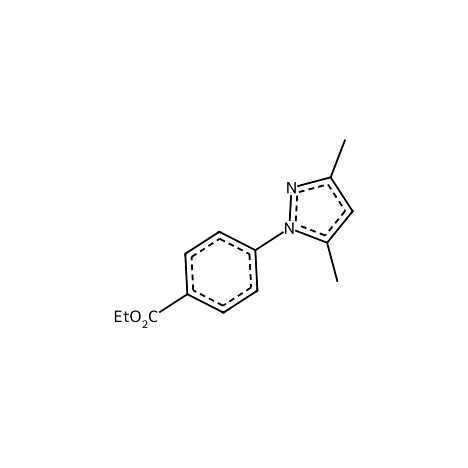 CCOC(=O)c1ccc(-n2nc(C)cc2C)cc1